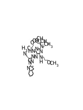 CCN(c1nc(NCCCOC)c(N=Nc2nn(-c3nc4ccccc4s3)cc2C#N)c(NC(C)COC)n1)C(C)COC